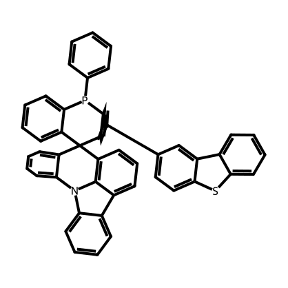 c1ccc(P2c3ccccc3C3(c4ccccc4-n4c5ccccc5c5cccc3c54)c3cc(-c4ccc5sc6ccccc6c5c4)ccc32)cc1